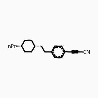 CCC[C@H]1CC[C@H](CCc2ccc(C#CC#N)cc2)CC1